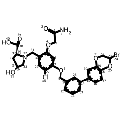 NC(=O)COc1cc(OCc2cccc(-c3ccc4c(c3)OCC(Br)O4)c2)c(Cl)cc1CN1C[C@@H](O)C[C@H]1C(=O)O